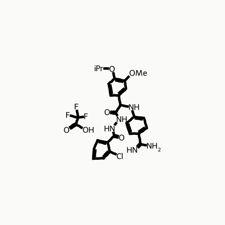 COc1cc(C(Nc2ccc(C(=N)N)cc2)C(=O)NNC(=O)c2ccccc2Cl)ccc1OC(C)C.O=C(O)C(F)(F)F